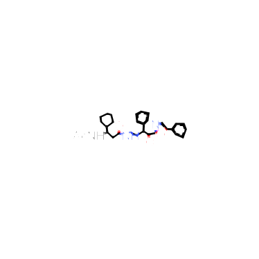 CC(=O)NC(CC(=O)NCCC(C(=O)c1ncc(-c2ccccc2)o1)c1ccccc1)C1CCCCC1